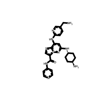 NCc1ccc(Nc2cc(N[C@H]3CC[C@H](N)CC3)nn3c(C(=O)Nc4ccncc4)cnc23)nc1